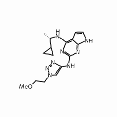 COCCn1cc(Nc2nc(N[C@@H](C)C3CC3)c3cc[nH]c3n2)nn1